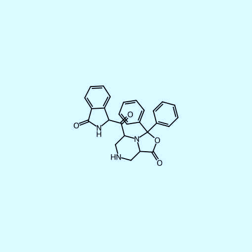 O=C1NC(C(=O)C2CNCC3C(=O)OC(c4ccccc4)(c4ccccc4)N32)c2ccccc21